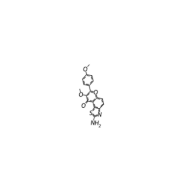 COc1ccc(-c2oc3ccc4nc(N)sc4c3c(=O)c2OC)cc1